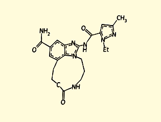 CCn1nc(C)cc1C(=O)Nc1nc2cc(C(N)=O)cc3c2n1CCCNC(=O)CCC3